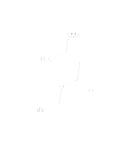 CSC(C)CC(=O)OCC(C)C